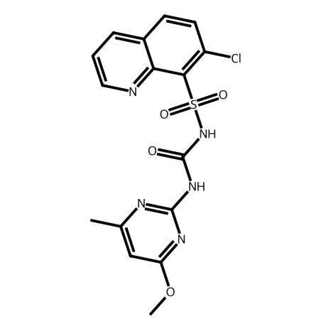 COc1cc(C)nc(NC(=O)NS(=O)(=O)c2c(Cl)ccc3cccnc23)n1